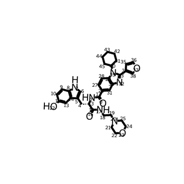 O=C(N[C@@H](Cc1c[nH]c2ccc(O)cc12)C(=O)NCCN1CCOCC1)c1ccc2c(c1)nc(-c1ccoc1)n2C1CCCCC1